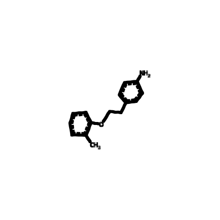 Cc1ccccc1OCCc1ccc(N)cc1